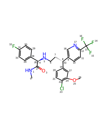 CNC(=O)[C@H](NCC[C@H](c1ccc(C(F)(F)F)nc1)c1ccc(Cl)c(OC)c1)c1ccc(F)cc1